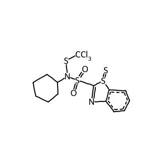 O=S(=O)(C1=Nc2ccccc2S1=S)N(SC(Cl)(Cl)Cl)C1CCCCC1